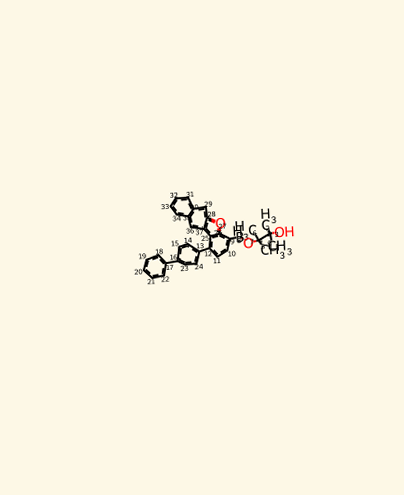 CC(C)(O)C(C)(C)OBc1ccc(-c2ccc(-c3ccccc3)cc2)c2c1oc1cc3ccccc3cc12